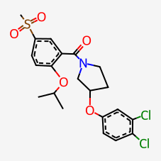 CC(C)Oc1ccc(S(C)(=O)=O)cc1C(=O)N1CCC(Oc2ccc(Cl)c(Cl)c2)C1